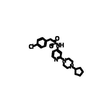 O=S(=O)(Cc1ccc(Cl)cc1)Nc1ccnc(N2CCN(C3CCCC3)CC2)c1